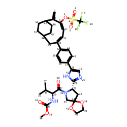 C=C1/C(OS(=O)(=O)C(F)(F)F)=C\C=C(\c2ccc(-c3cnc([C@@H]4CC5(CN4C(=O)[C@@H](NC(=O)OC)C(C)C)OCCO5)[nH]3)cc2)CC2CCC1CC2